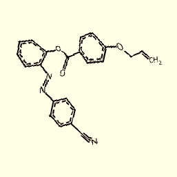 C=CCOc1ccc(C(=O)Oc2ccccc2N=Nc2ccc(C#N)cc2)cc1